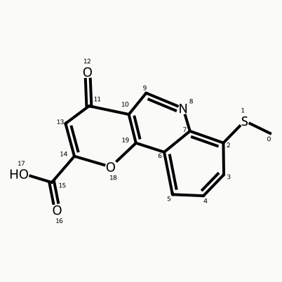 CSc1cccc2c1ncc1c(=O)cc(C(=O)O)oc12